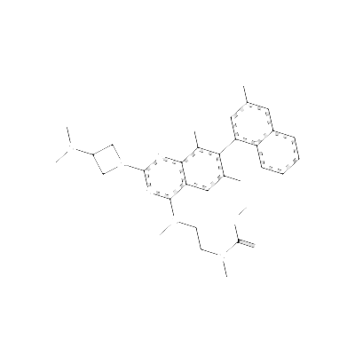 CN(CCN(C)c1nc(N2CC(N(C)C)C2)nc2c(F)c(-c3cc(O)cc4ccccc34)c(Cl)cc12)C(=O)OC(C)(C)C